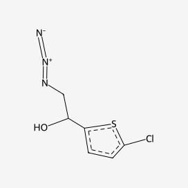 [N-]=[N+]=NCC(O)c1ccc(Cl)s1